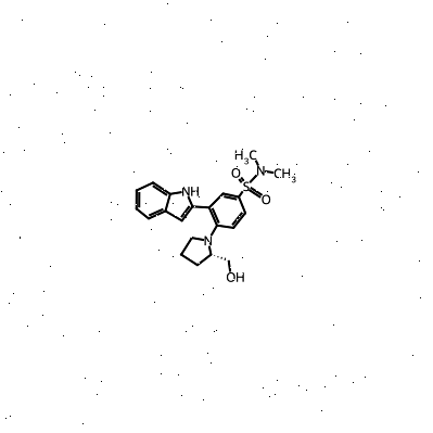 CN(C)S(=O)(=O)c1ccc(N2CCC[C@H]2CO)c(-c2cc3ccccc3[nH]2)c1